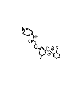 Cc1cc(OCC(=O)Nc2ccncc2)cc(OS(=O)(=O)C2=CC=CCC2=S)c1